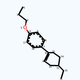 CCCOc1ccc(C2=CCC(CC)CC2)cc1